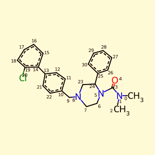 CN(C)C(=O)N1CCN(Cc2ccc(-c3ccccc3Cl)cc2)CC1c1ccccc1